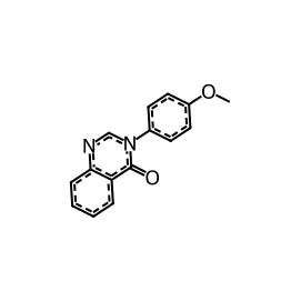 COc1ccc(-n2cnc3ccccc3c2=O)cc1